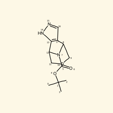 CC(C)(C)OC(=O)N1C2COCC1c1[nH]ncc12